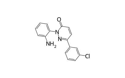 Nc1ccccc1-n1nc(-c2cccc(Cl)c2)ccc1=O